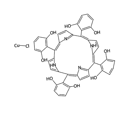 Oc1cccc(O)c1-c1c2nc(c(-c3c(O)cccc3O)c3ccc([nH]3)c(-c3c(O)cccc3O)c3nc(c(-c4c(O)cccc4O)c4ccc1[nH]4)C=C3)C=C2.[Cl][Cu]